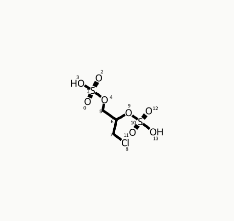 O=S(=O)(O)OCC(CCl)OS(=O)(=O)O